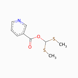 CSC(OC(=O)c1cccnc1)SC